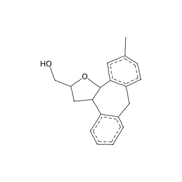 Cc1ccc2c(c1)C1OC(CO)CC1c1ccccc1C2